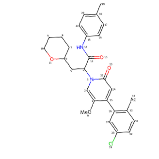 COc1cn(C(CC2CCCCO2)C(=O)Nc2ccc(C)cc2)c(=O)cc1-c1cc(Cl)ccc1C(C)=O